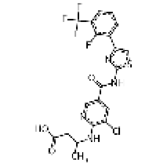 CC(CC(=O)O)Nc1ncc(C(=O)Nc2nc(-c3cccc(C(F)(F)F)c3F)cs2)cc1Cl